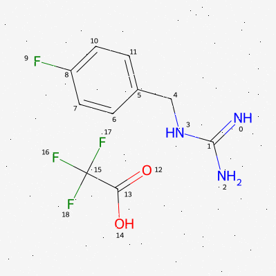 N=C(N)NCc1ccc(F)cc1.O=C(O)C(F)(F)F